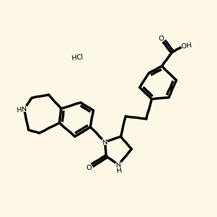 Cl.O=C(O)c1ccc(CCC2CNC(=O)N2c2ccc3c(c2)CCNCC3)cc1